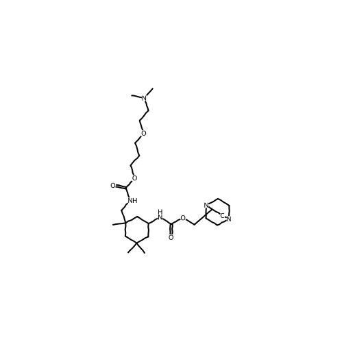 CN(C)CCOCCCOC(=O)NCC1(C)CC(NC(=O)OCC2CN3CCN2CC3)CC(C)(C)C1